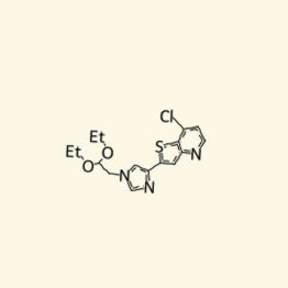 CCOC(Cn1cnc(-c2cc3nccc(Cl)c3s2)c1)OCC